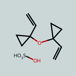 C=CC1(OC2(C=C)CC2)CC1.O=S(=O)(O)O